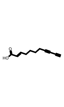 C#CC#CCCCCC=CC(=O)O